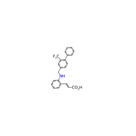 O=C(O)C=Cc1ccccc1NCc1ccc(-c2ccccc2)c(C(F)(F)F)c1